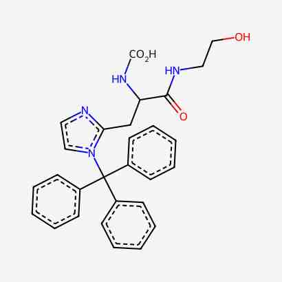 O=C(O)NC(Cc1nccn1C(c1ccccc1)(c1ccccc1)c1ccccc1)C(=O)NCCO